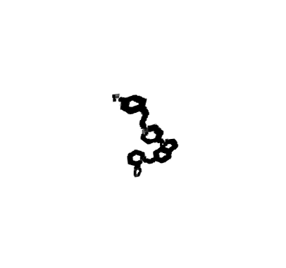 O=C1CCCCN1Cc1ccc2c(c1)N(C1CCN(CCc3ccc(F)cc3)CC1)CC2